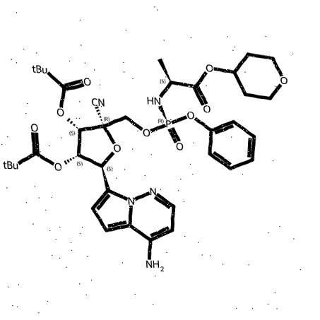 C[C@H](N[P@@](=O)(OC[C@@]1(C#N)O[C@@H](c2ccc3c(N)ccnn23)[C@H](OC(=O)C(C)(C)C)[C@@H]1OC(=O)C(C)(C)C)Oc1ccccc1)C(=O)OC1CCOCC1